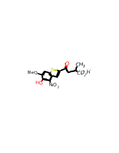 COc1cc2sc(C(=O)CC(C)C(=O)O)cc2c([N+](=O)[O-])c1O